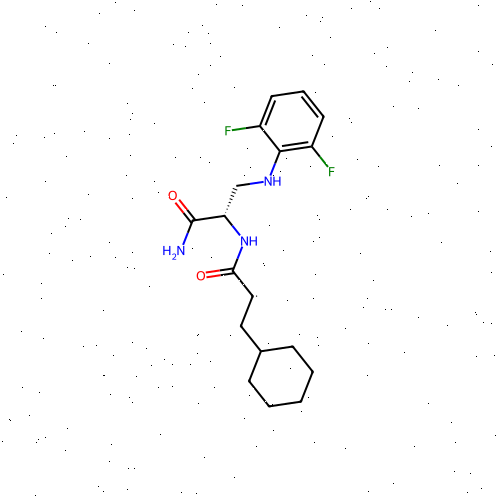 NC(=O)[C@H](CNc1c(F)cccc1F)NC(=O)[CH]CC1CCCCC1